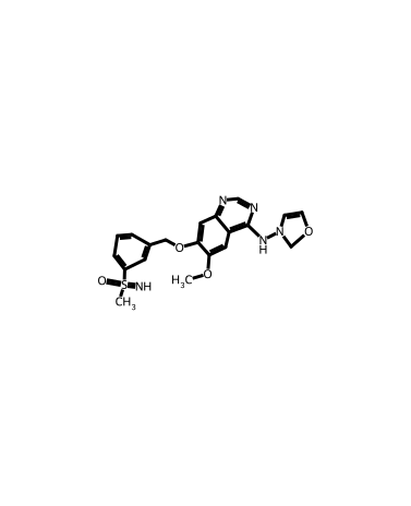 COc1cc2c(NN3C=COC3)ncnc2cc1OCc1cccc(S(C)(=N)=O)c1